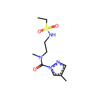 CCS(=O)(=O)NCCN(C)C(=O)n1cc(C)cn1